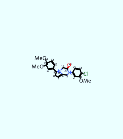 COc1cc(N2CC3=CCC(c4ccc(OC)c(OC)c4)N3CC2=O)ccc1Cl